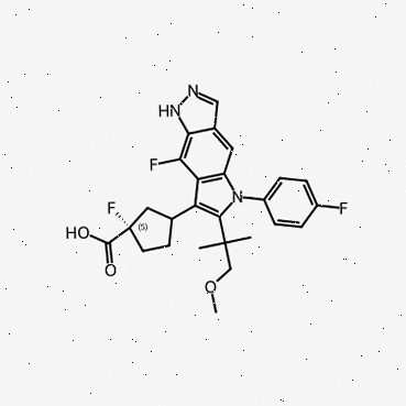 COCC(C)(C)c1c(C2CC[C@@](F)(C(=O)O)C2)c2c(F)c3[nH]ncc3cc2n1-c1ccc(F)cc1